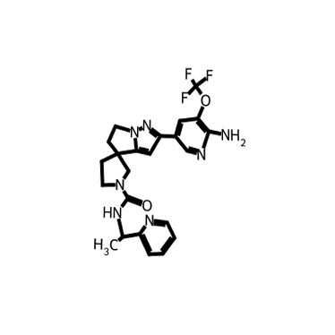 CC(NC(=O)N1CCC2(CCn3nc(-c4cnc(N)c(OC(F)(F)F)c4)cc32)C1)c1ccccn1